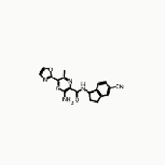 Cc1nc(C(=O)NC2CCc3cc(C#N)ccc32)c(N)nc1-c1ncco1